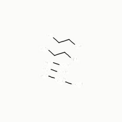 CC(=O)O.CC(=O)O.CC(=O)O.CC(=O)O.NCCN.OCCO